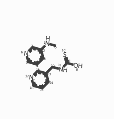 CNc1cccnc1.OC(=S)NCc1cccnc1